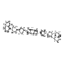 c1ccc2c(-c3ccc(-c4ccc(-c5cc6cc7sc(-c8ccc(-c9ccc(-c%10ccnc%11ccccc%10%11)cc9)cc8)cc7cc6s5)cc4)cc3)ccnc2c1